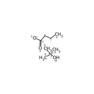 CCCC(=O)[O-].C[N+](C)(C)O